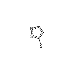 [S]c1ccns1